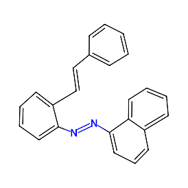 C(=Cc1ccccc1N=Nc1cccc2ccccc12)c1ccccc1